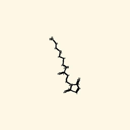 O=C(CCN1C(=O)C=CC1=O)NCCCOCCO